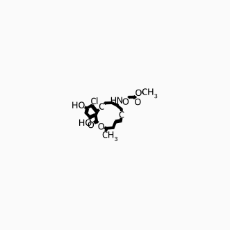 COC(=O)CONC1CC/C=C/CC(C)OC(=O)c2c(O)cc(O)c(Cl)c2CCC1